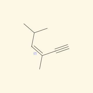 C#C/C(C)=C\C(C)C